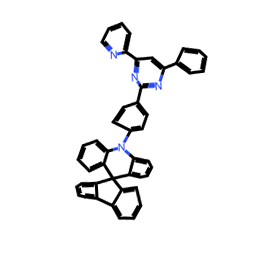 c1ccc(-c2cc(-c3ccccn3)nc(-c3ccc(N4c5ccccc5C5(c6ccccc6-c6ccccc65)c5ccccc54)cc3)n2)cc1